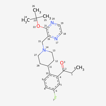 CCC(=O)c1cc(F)ccc1C1CCN(Cc2nccnc2OC(C)(C)C)CC1